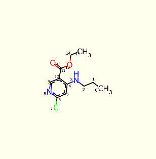 CCCNc1cc(Cl)ncc1C(=O)OCC